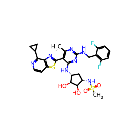 Cc1nc(NCc2c(F)cccc2F)nc(N[C@@H]2C[C@H](NS(C)(=O)=O)[C@@H](O)[C@H]2O)c1-c1nc2c(C3CC3)nccc2s1